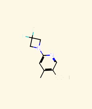 Cc1cc(N2CC(F)(F)C2)ncc1C(=O)O